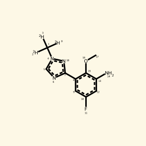 [2H]C([2H])([2H])n1cnc(-c2cc(F)cc(N)c2OC)n1